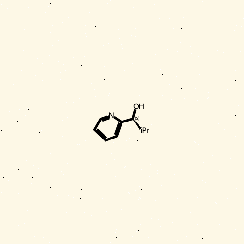 CC(C)[C@H](O)c1ccccn1